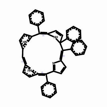 C1=C/C2=C(\c3ccccc3)C3(c4ccccc4)C=C/C(=C(\c4ccccc4)c4ccc([nH]4)/C=c4/cc/c([nH]4)=C(\c4ccccc4)C1=N2)N3